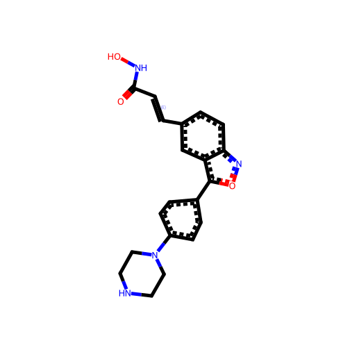 O=C(/C=C/c1ccc2noc(-c3ccc(N4CCNCC4)cc3)c2c1)NO